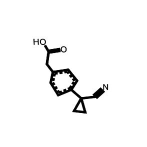 N#CC1(c2ccc(CC(=O)O)cc2)CC1